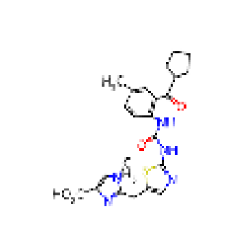 Cc1ccc(NC(=O)Nc2ncc(Cc3nc(C(=O)O)cn3C)s2)c(C(=O)C2CCCC2)c1